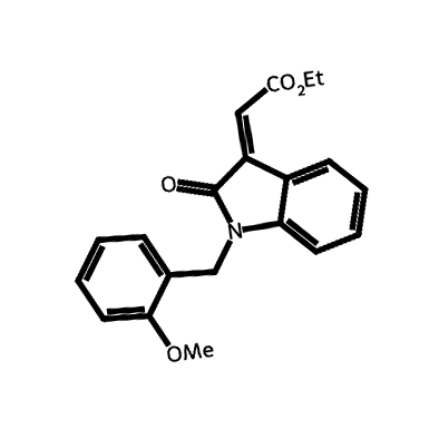 CCOC(=O)/C=C1/C(=O)N(Cc2ccccc2OC)c2ccccc21